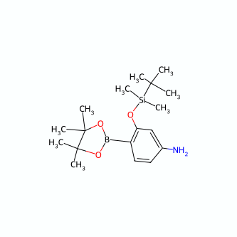 CC1(C)OB(c2ccc(N)cc2O[Si](C)(C)C(C)(C)C)OC1(C)C